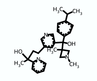 CC(C)c1ccc(C(O)(c2cncc(CCC(C)(O)c3ccccn3)c2)C2(C)CN(C)C2)cc1